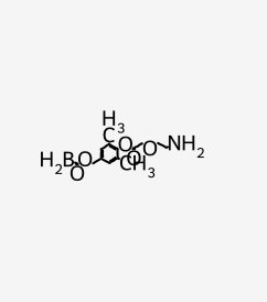 BC(=O)OCc1cc(C)c(OC(=O)COCCN)c(C)c1